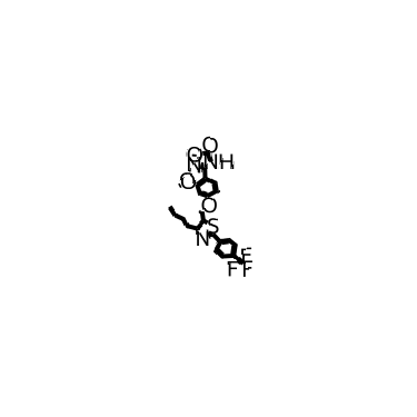 CCCCC1N=C(c2ccc(C(F)(F)F)cc2)SC1COc1ccc(-c2noc(=O)[nH]2)c(OC)c1